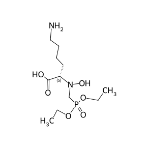 CCOP(=O)(CN(O)[C@@H](CCCCN)C(=O)O)OCC